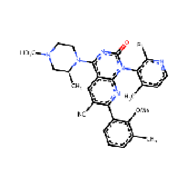 COc1c(C)cccc1-c1nc2c(cc1C#N)c(N1CCN(C(=O)O)C[C@@H]1C)nc(=O)n2-c1c(C)ccnc1C(C)C